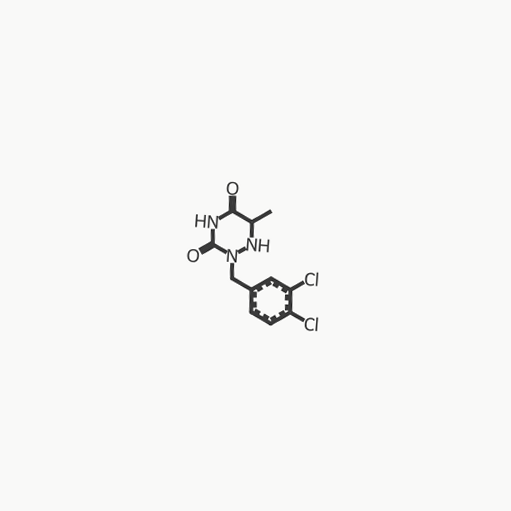 CC1NN(Cc2ccc(Cl)c(Cl)c2)C(=O)NC1=O